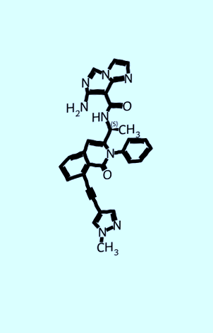 C[C@H](NC(=O)c1c(N)ncn2ccnc12)c1cc2cccc(C#Cc3cnn(C)c3)c2c(=O)n1-c1ccccc1